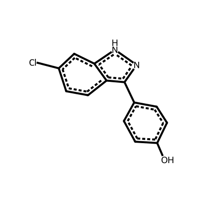 Oc1ccc(-c2n[nH]c3cc(Cl)ccc23)cc1